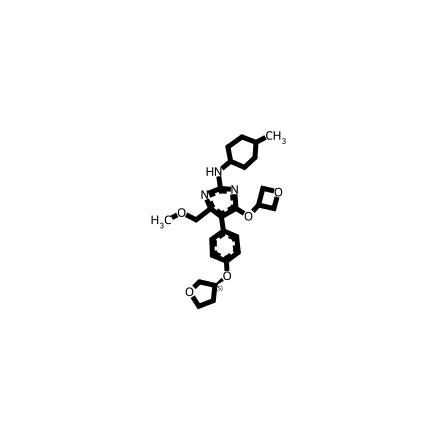 COCc1nc(NC2CCC(C)CC2)nc(OC2COC2)c1-c1ccc(O[C@H]2CCOC2)cc1